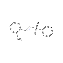 O=[N+]([O-])c1ccccc1/C=C/S(=O)(=O)c1ccccc1